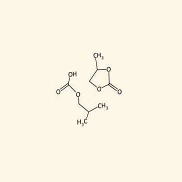 CC(C)COC(=O)O.CC1COC(=O)O1